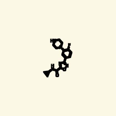 O=C(NC1CC1)c1nc(-c2ccc(F)c(N3CCNCC3)c2)no1